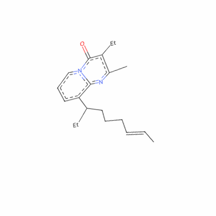 CC=CCCCC(CC)c1cccn2c(=O)c(CC)c(C)nc12